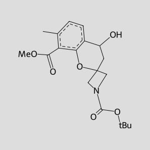 COC(=O)c1c(C)ccc2c1OC1(CC2O)CN(C(=O)OC(C)(C)C)C1